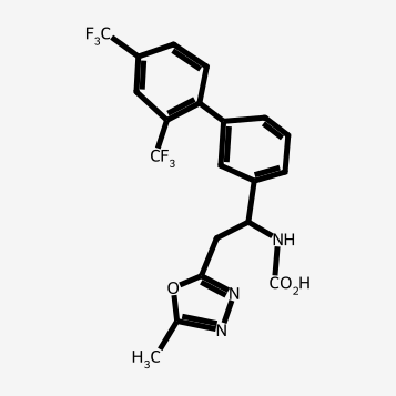 Cc1nnc(CC(NC(=O)O)c2cccc(-c3ccc(C(F)(F)F)cc3C(F)(F)F)c2)o1